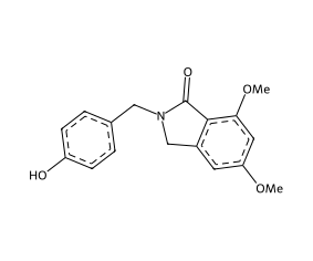 COc1cc2c(c(OC)c1)C(=O)N(Cc1ccc(O)cc1)C2